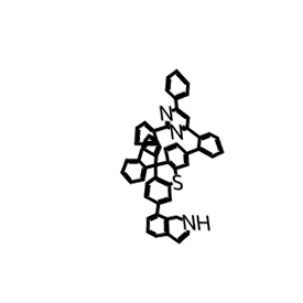 C1=Cc2cccc(-c3ccc4c(c3)Sc3cc(-c5ccccc5-c5cc(-c6ccccc6)nc(-c6ccccc6)n5)ccc3C43c4ccccc4-c4ccccc43)c2CN1